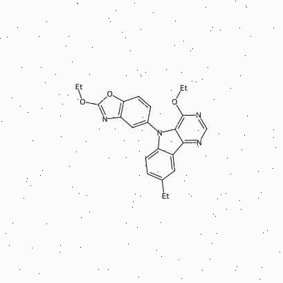 CCOc1nc2cc(-n3c4ccc(CC)cc4c4ncnc(OCC)c43)ccc2o1